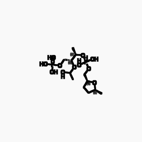 CC(O)O[C@H](CO[PH](O)(O)O)[C@@H](C)O[PH](O)(O)OC[C@@H]1CC[C@H](C)O1